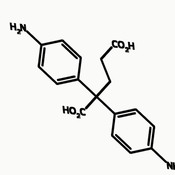 Nc1ccc(C(CCC(=O)O)(C(=O)O)c2ccc(N)cc2)cc1